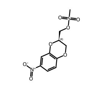 CS(=O)(=O)OC[C@H]1COc2ccc([N+](=O)[O-])cc2O1